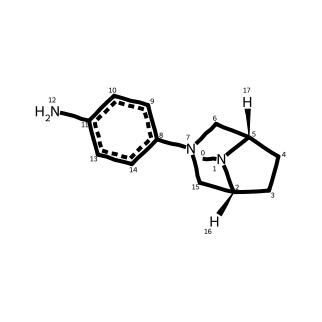 CN1[C@@H]2CC[C@H]1CN(c1ccc(N)cc1)C2